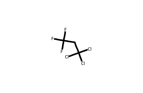 FC(F)(F)CC(Cl)(Cl)Cl